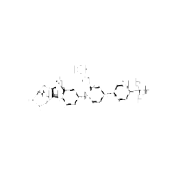 Cl.Cn1c2c(c3ccc(-n4ccc(-c5ccc(C(F)(F)F)nc5)cc4=O)cc31)C1CCC(C2)N1